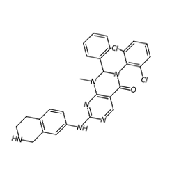 CN1c2nc(Nc3ccc4c(c3)CNCC4)ncc2C(=O)N(c2c(Cl)cccc2Cl)C1c1ccccc1